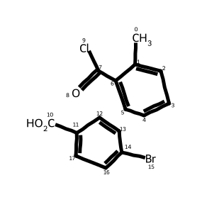 Cc1ccccc1C(=O)Cl.O=C(O)c1ccc(Br)cc1